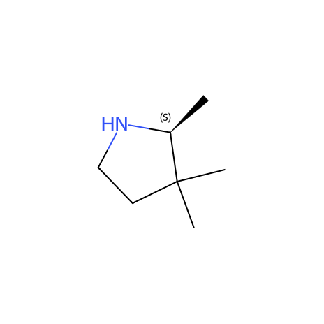 C[C@@H]1NCCC1(C)C